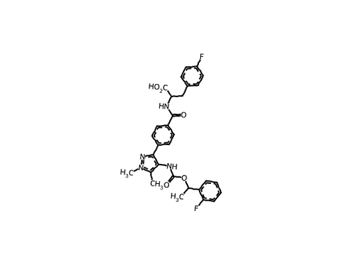 Cc1c(NC(=O)OC(C)c2ccccc2F)c(-c2ccc(C(=O)NC(Cc3ccc(F)cc3)C(=O)O)cc2)nn1C